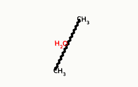 CCCCCCCCCCCCCCCCCCCCCCCCCCCC.O